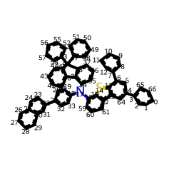 c1ccc(-c2cc(-c3ccccc3)c3sc4c(N(c5ccc(-c6ccc7ccccc7c6)cc5)c5cccc6c5-c5ccccc5C6(c5ccccc5)c5ccccc5)cccc4c3c2)cc1